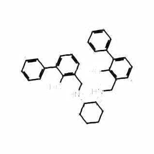 Oc1c(CN[C@H]2CCCC[C@H]2NCc2cccc(-c3ccccc3)c2O)cccc1-c1ccccc1